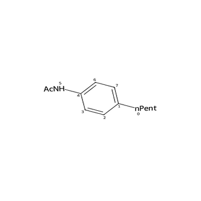 [CH2]CCCCc1ccc(NC(C)=O)cc1